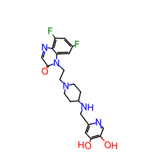 O=c1cnc2c(F)cc(F)cc2n1CCN1CCC(NCc2cc(O)c(O)cn2)CC1